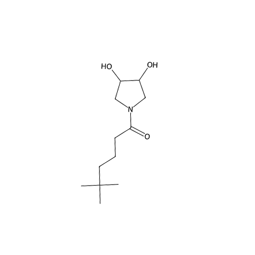 CC(C)(C)CCCC(=O)N1CC(O)C(O)C1